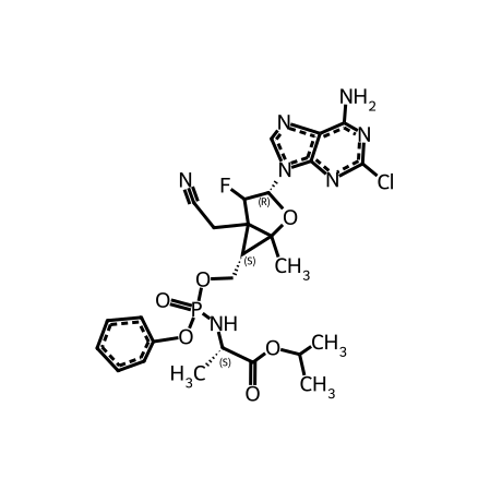 CC(C)OC(=O)[C@H](C)NP(=O)(OC[C@H]1C2(C)O[C@@H](n3cnc4c(N)nc(Cl)nc43)C(F)C12CC#N)Oc1ccccc1